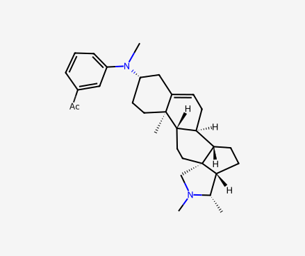 CC(=O)c1cccc(N(C)[C@H]2CC[C@@]3(C)C(=CC[C@H]4[C@@H]5CC[C@@H]6[C@H](C)N(C)C[C@@]65CC[C@@H]43)C2)c1